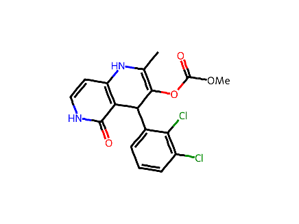 COC(=O)OC1=C(C)Nc2cc[nH]c(=O)c2C1c1cccc(Cl)c1Cl